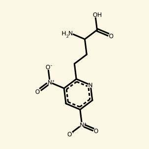 NC(CCc1ncc([N+](=O)[O-])cc1[N+](=O)[O-])C(=O)O